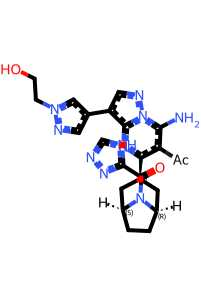 CC(=O)c1c([C@H]2C[C@H]3CC[C@@H](C2)N3C(=O)c2nnc[nH]2)nc2c(-c3cnn(CCO)c3)cnn2c1N